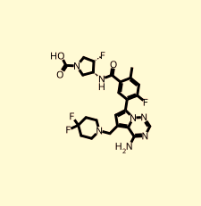 Cc1cc(F)c(-c2cc(CN3CCC(F)(F)CC3)c3c(N)ncnn23)cc1C(=O)N[C@@H]1CN(C(=O)O)C[C@@H]1F